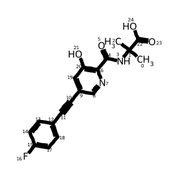 CC(C)(NC(=O)c1ncc(C#Cc2ccc(F)cc2)cc1O)C(=O)O